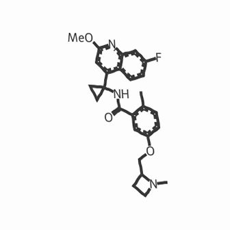 COc1cc(C2(NC(=O)c3cc(OCC4CCN4C)ccc3C)CC2)c2ccc(F)cc2n1